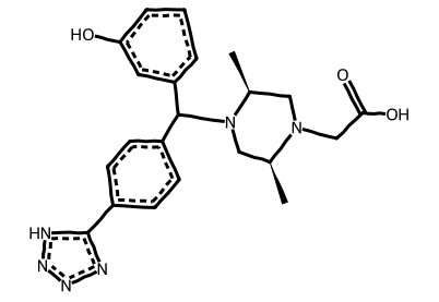 C[C@H]1CN(C(c2ccc(-c3nnn[nH]3)cc2)c2cccc(O)c2)[C@@H](C)CN1CC(=O)O